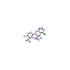 Fc1ccc(C(Oc2cc(Br)ccn2)C2=CCSN2)cc1C(F)F